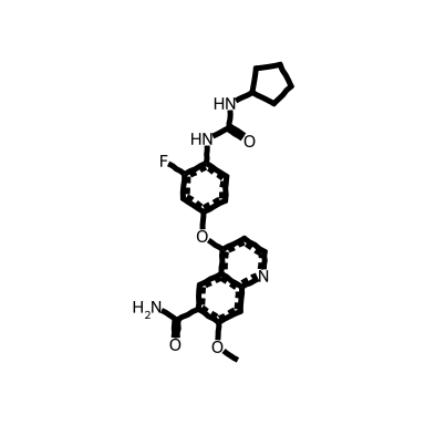 COc1cc2nccc(Oc3ccc(NC(=O)NC4CCCC4)c(F)c3)c2cc1C(N)=O